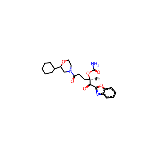 CC(C)[C@](CCC(=O)N1CCOC(C2CCCCC2)C1)(OC(N)=O)C(=O)c1nc2ccccc2o1